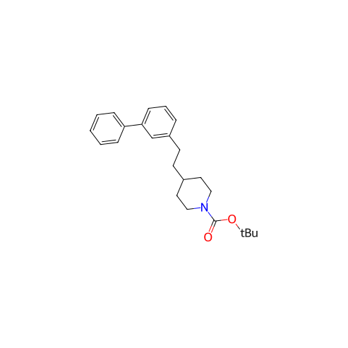 CC(C)(C)OC(=O)N1CCC(CCc2cccc(-c3ccccc3)c2)CC1